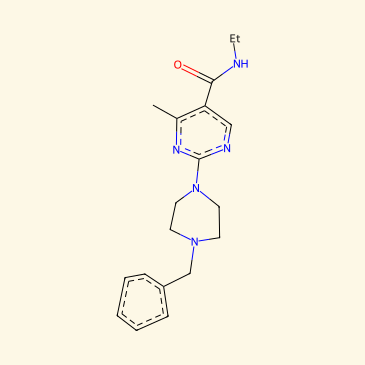 CCNC(=O)c1cnc(N2CCN(Cc3ccccc3)CC2)nc1C